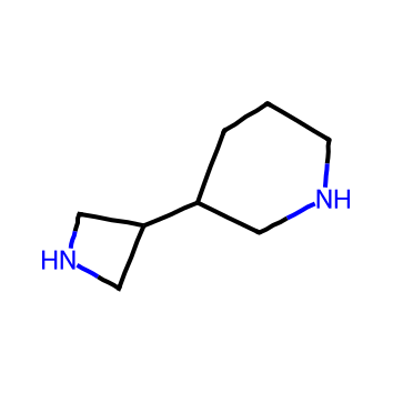 C1CNCC(C2CNC2)C1